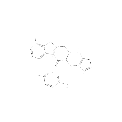 Cc1[nH]cnc1CC1CCc2[nH]c3c(F)cccc3c2C1=O.O=C(O)/C=C\C(=O)O